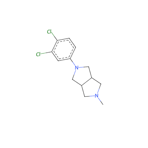 CN1CC2CN(c3ccc(Cl)c(Cl)c3)CC2C1